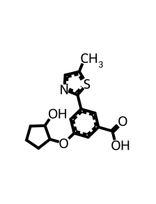 Cc1cnc(-c2cc(OC3CCCC3O)cc(C(=O)O)c2)s1